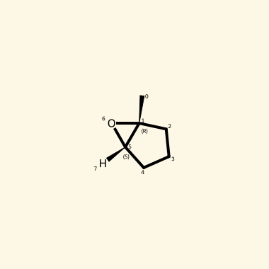 C[C@@]12CCC[C@@H]1O2